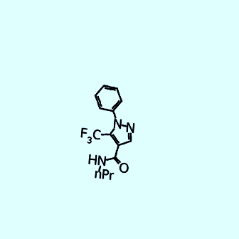 CCCNC(=O)c1cnn(-c2ccccc2)c1C(F)(F)F